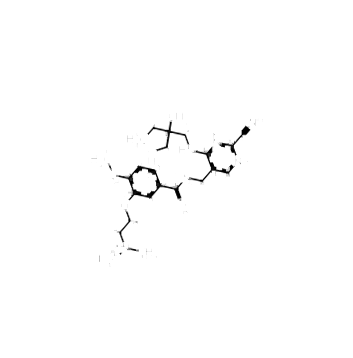 CCC(C)(CC)CNc1nc(C#N)ncc1CNC(=O)c1ccc(OC)c(OCCN(C)C)c1